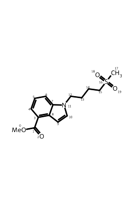 COC(=O)c1cccc2c1ccn2CCCCS(C)(=O)=O